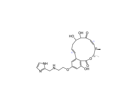 C[C@@H]1/C=C\C(=O)C(O)C(O)C/C=C/c2cc(OCCNCc3ncc[nH]3)cc(O)c2C(=O)O[C@H]1C